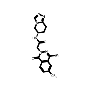 CC(C)c1nn(CC(=O)N[C@@H]2CCc3nncn3C2)c(=O)c2ccc(C(F)(F)F)cc12